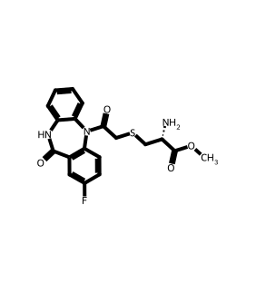 COC(=O)[C@@H](N)CSCC(=O)N1c2ccccc2NC(=O)c2cc(F)ccc21